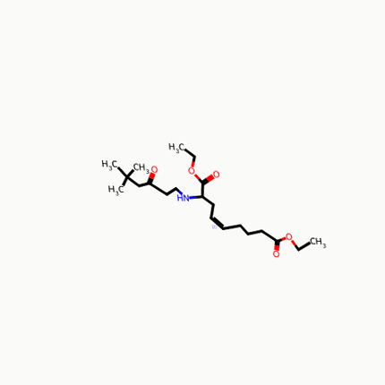 CCOC(=O)CCC/C=C\CC(NCCC(=O)CC(C)(C)C)C(=O)OCC